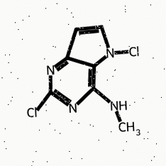 CNc1nc(Cl)nc2ccn(Cl)c12